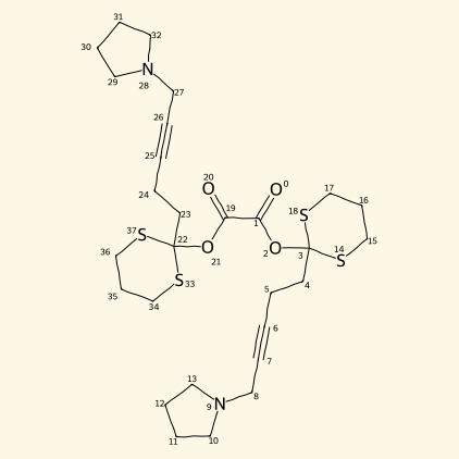 O=C(OC1(CCC#CCN2CCCC2)SCCCS1)C(=O)OC1(CCC#CCN2CCCC2)SCCCS1